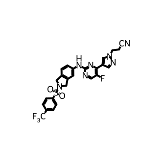 N#CCCn1cc(-c2nc(Nc3ccc4c(c3)CN(S(=O)(=O)c3ccc(C(F)(F)F)cc3)C4)ncc2F)cn1